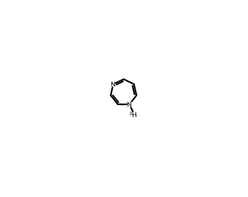 [2H]N1C=CC=NC=C1